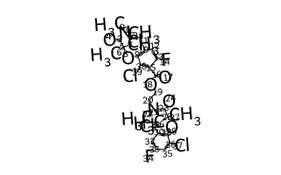 CN(C)C(=O)C(C)(C)Oc1c(Cl)cc(F)c(C(=O)OCCN(C)C(=O)C(C)(C)Oc2c(Cl)cc(F)cc2Cl)c1Cl